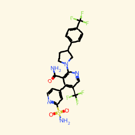 NC(=O)c1c(N2CCC(c3ccc(C(F)(F)F)cc3)C2)ncc(C(F)(F)F)c1-c1ccnc(S(N)(=O)=O)c1